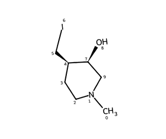 CN1CC[C@@H](CI)[C@@H](O)C1